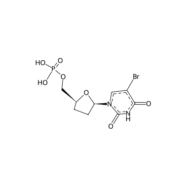 O=c1[nH]c(=O)n([C@H]2CC[C@@H](COP(=O)(O)O)O2)cc1Br